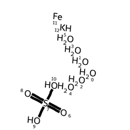 O.O.O.O.O.O.O=S(=O)(O)O.[Fe].[KH]